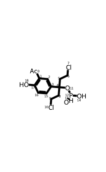 CC(=O)c1cc(C(CCCl)(CCCl)O[PH](=O)O)ccc1O